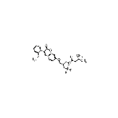 CCc1ccccc1-c1cc2ccc(OCC(COC(=O)CC(C)C)CC(F)(F)F)cc2oc1=O